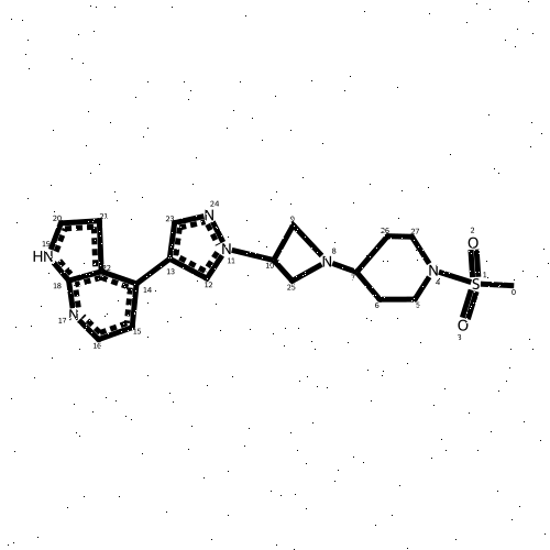 CS(=O)(=O)N1CCC(N2C[C](n3cc(-c4ccnc5[nH]ccc45)cn3)C2)CC1